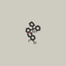 Fc1c(Br)ccc2c(NC(c3ccccc3)(c3ccccc3)c3ccccc3)nccc12